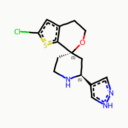 Clc1cc2c(s1)[C@@]1(CCN[C@H](c3cn[nH]c3)C1)OCC2